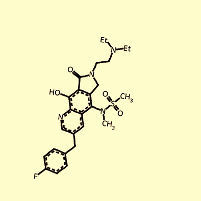 CCN(CC)CCN1Cc2c(c(O)c3ncc(Cc4ccc(F)cc4)cc3c2N(C)S(C)(=O)=O)C1=O